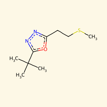 CSCCc1nnc(C(C)(C)C)o1